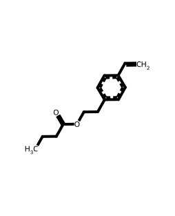 C=Cc1ccc(CCOC(=O)CCC)cc1